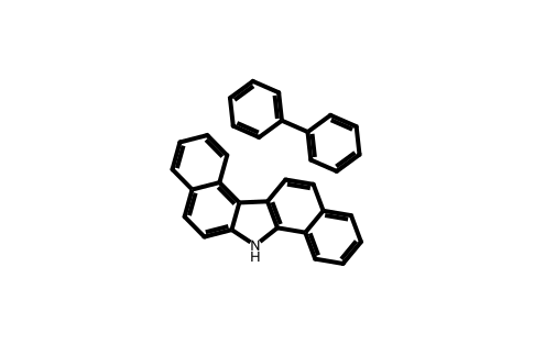 c1ccc(-c2ccccc2)cc1.c1ccc2c(c1)ccc1c2[nH]c2ccc3ccccc3c21